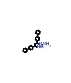 NC(Br)/N=c1\[nH]cc(-c2ccc(-c3ccccc3)cc2)cc1-c1ccc(-c2ccccc2)cc1